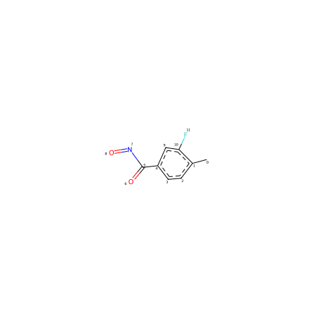 Cc1ccc(C(=O)N=O)cc1F